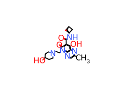 Cc1cnc2c(n1)c(O)c(C(=O)NC13CC(C1)C3)c(=O)n2CCN1CCC(O)CC1